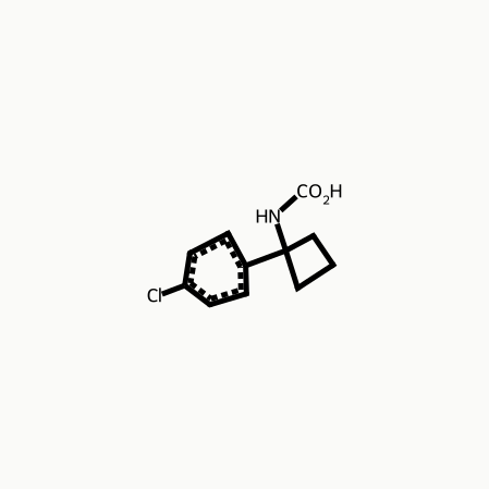 O=C(O)NC1(c2ccc(Cl)cc2)CCC1